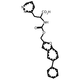 O=C(NC(Cc1cccnn1)C(=O)O)OCc1cc2cc(-c3ccccc3)ccc2o1